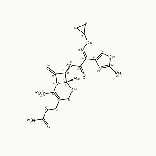 NC(=O)OCC1=C(C(=O)O)N2C(=O)[C@@H](NC(=O)C(=NOC3CC3)c3csc(N)n3)[C@@H]2SC1